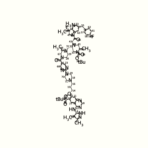 Cc1n[nH]c(Nc2ncnc3cc(OCCCN4CCN(c5ncc(C(=O)N6CCN(C[C@H]7CN(C(=O)OC(C)(C)C)[C@H](C)CN7CC(=O)N7CC(C)(C)c8ncc(Cc9ccc(F)cc9)cc87)[C@H](C)C6)cn5)CC4)c(S(=O)(=O)C(C)(C)C)cc23)c1C